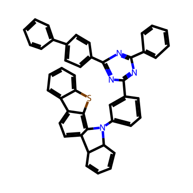 C1=CC2c3ccc4c(sc5ccccc54)c3N(c3cccc(-c4nc(-c5ccccc5)nc(-c5ccc(-c6ccccc6)cc5)n4)c3)C2C=C1